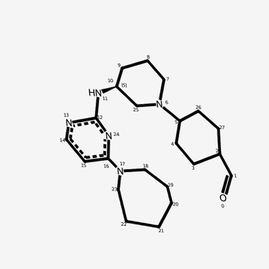 O=CC1CCC(N2CCC[C@H](Nc3nccc(N4CCCCCC4)n3)C2)CC1